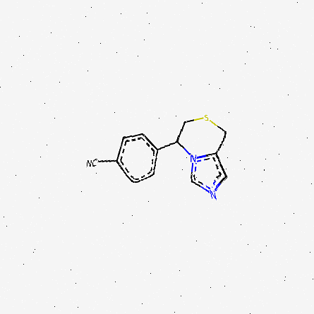 N#Cc1ccc(C2CSCc3cncn32)cc1